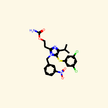 CC(C)c1nc(CCOC(N)=O)n(Cc2cccc([N+](=O)[O-])c2)c1Sc1cc(Cl)cc(Cl)c1